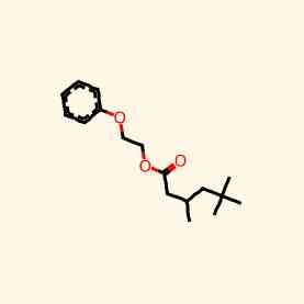 CC(CC(=O)OCCOc1ccccc1)CC(C)(C)C